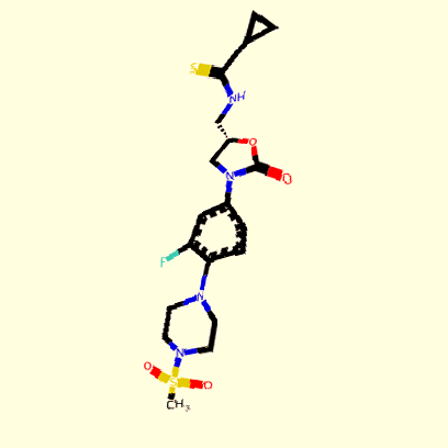 CS(=O)(=O)N1CCN(c2ccc(N3C[C@H](CNC(=S)C4CC4)OC3=O)cc2F)CC1